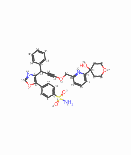 NS(=O)(=O)c1ccc(-c2ocnc2C(C#COCc2cccc(C3(O)CCOCC3)n2)c2ccccc2)cc1